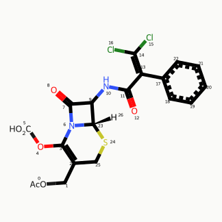 CC(=O)OCC1=C(OC(=O)O)N2C(=O)C(NC(=O)C(=C(Cl)Cl)c3ccccc3)[C@@H]2SC1